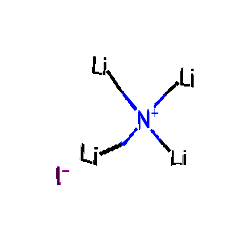 [I-].[Li][N+]([Li])([Li])[Li]